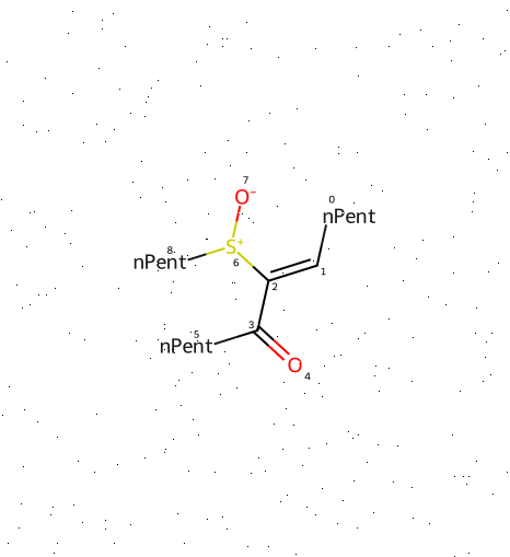 CCCCCC=C(C(=O)CCCCC)[S+]([O-])CCCCC